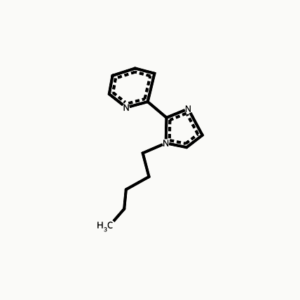 CCCCCn1ccnc1-c1ccccn1